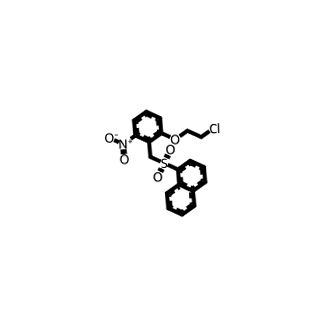 O=[N+]([O-])c1cccc(OCCCl)c1CS(=O)(=O)c1cccc2ccccc12